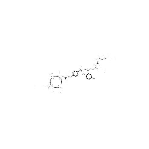 O=C(O)CC[C@@H](NC(=O)N[C@H](CCCCN(Cc1ccc(I)cc1)C(=O)c1ccc(CNC(=O)CN2CCN(CC(=O)O)CCN(CC(=O)O)CCN(CC(=O)O)CC2)cc1)C(=O)O)C(=O)O